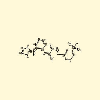 CS(=O)(=O)c1cccc(COc2cc3ncnc(Nc4nncs4)c3cc2Br)c1